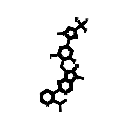 CC(C)c1ncccc1-c1ncc2c(n1)n(Cc1c(F)cc(-c3nc(C(F)(F)F)cn3C)cc1F)c(=O)n2C